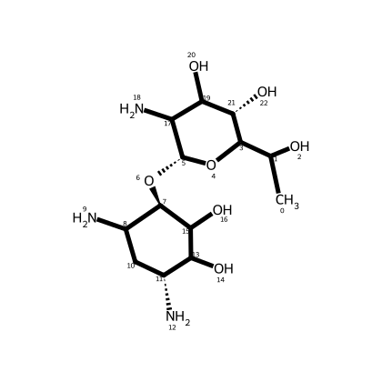 CC(O)C1O[C@H](O[C@@H]2C(N)C[C@@H](N)C(O)C2O)C(N)C(O)[C@@H]1O